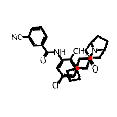 Cc1c(CN2CC3CCC(C2)N3C(=O)CC2CCC2)cc(Cl)cc1NC(=O)c1cccc(C#N)c1